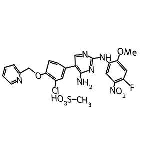 COc1cc(F)c([N+](=O)[O-])cc1Nc1ncc(-c2ccc(OCc3ccccn3)c(Cl)c2)c(N)n1.CS(=O)(=O)O